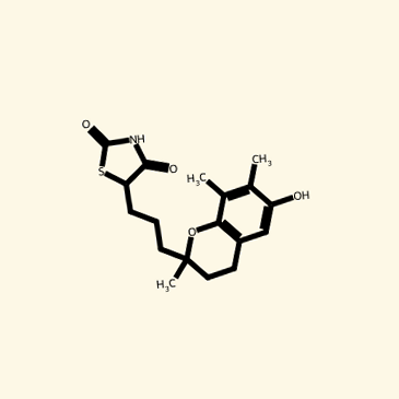 Cc1c(O)cc2c(c1C)OC(C)(CCCC1SC(=O)NC1=O)CC2